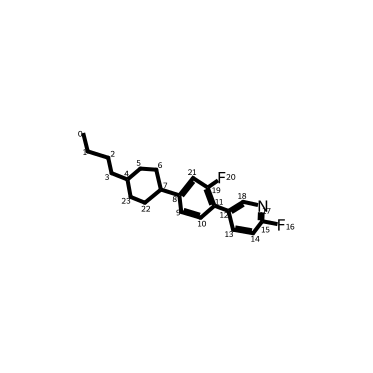 CCCCC1CCC(c2ccc(-c3ccc(F)nc3)c(F)c2)CC1